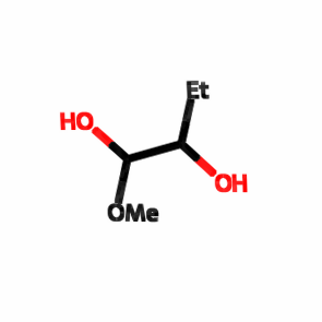 CCC(O)C(O)OC